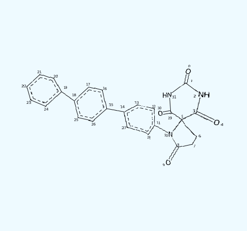 O=C1NC(=O)C2(CCC(=O)N2c2ccc(-c3ccc(-c4ccccc4)cc3)cc2)C(=O)N1